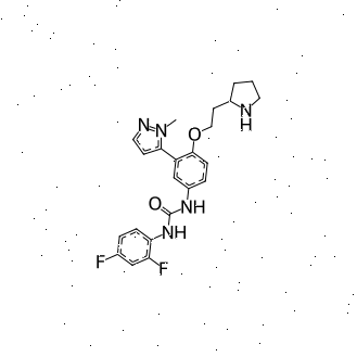 Cn1nccc1-c1cc(NC(=O)Nc2ccc(F)cc2F)ccc1OCCC1CCCN1